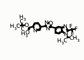 CC(C)n1c(C(F)(F)F)nc2cc(-c3nc(-c4ccc(C(=O)OC(C)(C)C)nc4)no3)ccc21